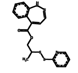 CC(COC(=O)C1=CC=NNc2ccccc21)SSc1ccccn1